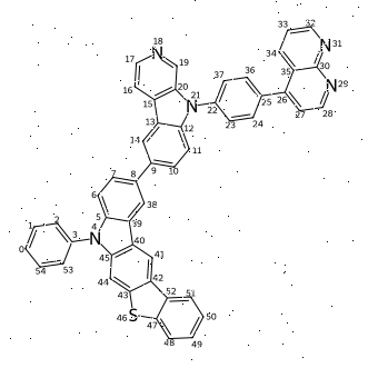 c1ccc(-n2c3ccc(-c4ccc5c(c4)c4ccncc4n5-c4ccc(-c5ccnc6ncccc56)cc4)cc3c3cc4c(cc32)sc2ccccc24)cc1